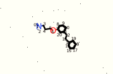 CN(C)CCCOc1cccc(CCc2ccccc2)c1